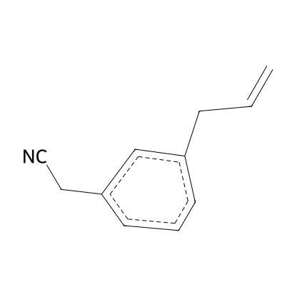 C=CCc1cccc(CC#N)c1